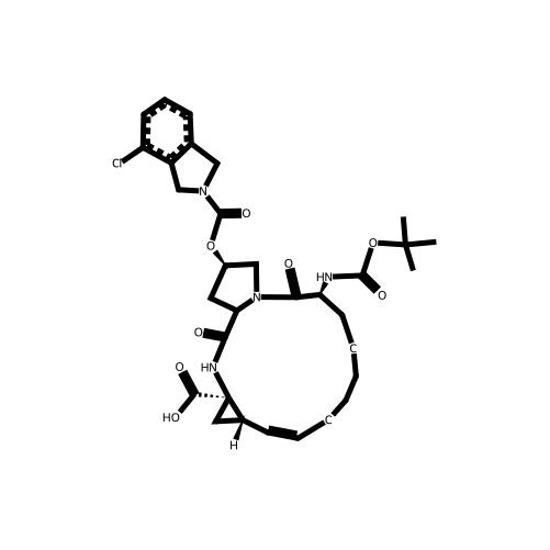 CC(C)(C)OC(=O)N[C@H]1CCCCC/C=C\[C@@H]2C[C@@]2(C(=O)O)NC(=O)C2C[C@@H](OC(=O)N3Cc4cccc(Cl)c4C3)CN2C1=O